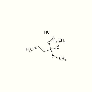 C=CC[Si](OC)(OC)OC.Cl